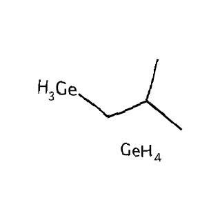 CC(C)[CH2][GeH3].[GeH4]